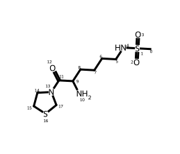 CS(=O)(=O)NCCCCC(N)C(=O)N1CCSC1